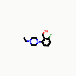 CCN1CCN(c2cccc(Cl)c2CO)CC1